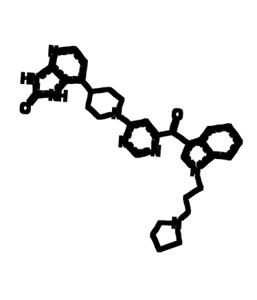 O=C(c1cc(N2CCC(c3ccnc4[nH]c(=O)[nH]c34)CC2)ncn1)c1cn(CCCN2CCCC2)c2ccccc12